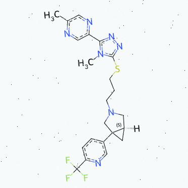 Cc1cnc(-c2nnc(SCCCN3C[C@H]4CC4(c4ccc(C(F)(F)F)nc4)C3)n2C)cn1